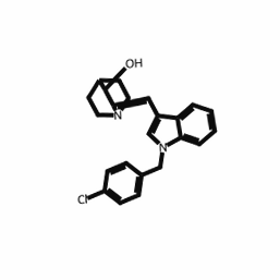 OC1C(=Cc2cn(Cc3ccc(Cl)cc3)c3ccccc23)N2CCC1CC2